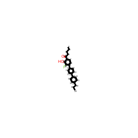 CCCCC(=O)c1ccc(-c2ccc(-c3ccc(CCC)cc3)cc2)c(F)c1O